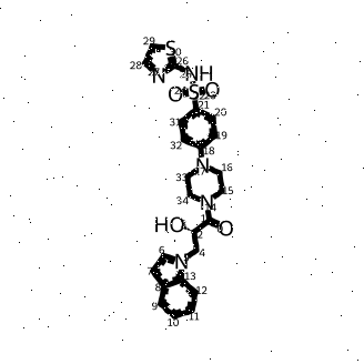 O=C([C@@H](O)Cn1ccc2ccccc21)N1CCN(c2ccc(S(=O)(=O)Nc3nccs3)cc2)CC1